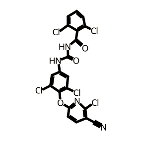 N#Cc1ccc(Oc2c(Cl)cc(NC(=O)NC(=O)c3c(Cl)cccc3Cl)cc2Cl)nc1Cl